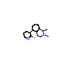 CC1c2cccc(-c3cccnc3F)c2CCN1C